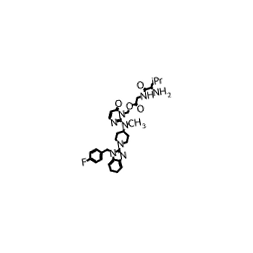 CC(C)C(N)C(=O)NCC(=O)OCn1c(N(C)C2CCN(c3nc4c(n3Cc3ccc(F)cc3)=CCCC=4)CC2)nccc1=O